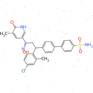 Cc1cc(Cl)ccc1C(C/C(=N\O)c1c[nH]c(=O)c(C)c1)c1ccc(-c2ccc(S(N)(=O)=O)cc2)cc1